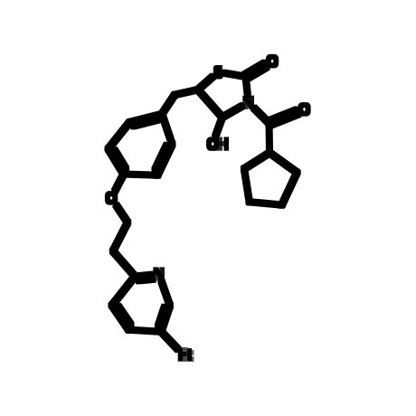 CCc1ccc(CCOc2ccc(CC3SC(=O)N(C(=O)C4CCCC4)C3O)cc2)nc1